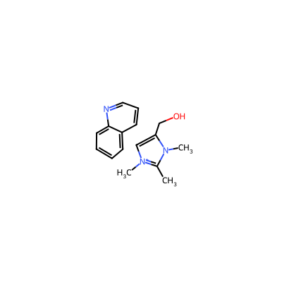 Cc1n(C)c(CO)c[n+]1C.c1ccc2ncccc2c1